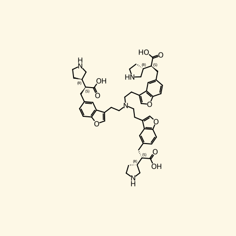 O=C(O)[C@@H](Cc1ccc2occ(CCN(CCc3coc4ccc(C[C@H](C(=O)O)[C@H]5CCNC5)cc34)CCc3coc4ccc(C[C@H](C(=O)O)[C@H]5CCNC5)cc34)c2c1)[C@H]1CCNC1